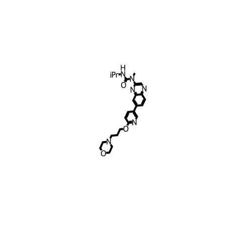 CC(C)NC(=O)N(C)c1cnc2ccc(-c3ccc(OCCCN4CCOCC4)nc3)cc2n1